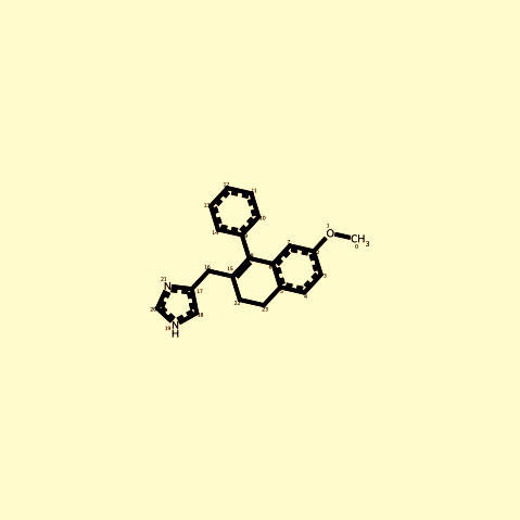 COc1ccc2c(c1)C(c1ccccc1)=C(Cc1c[nH]cn1)CC2